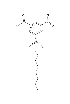 CCCCCCCC.O=C(Cl)c1cc(C(=O)Cl)cc(C(=O)Cl)c1